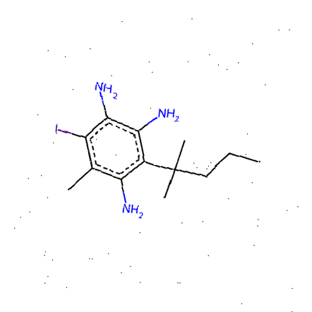 CCCC(C)(C)c1c(N)c(C)c(I)c(N)c1N